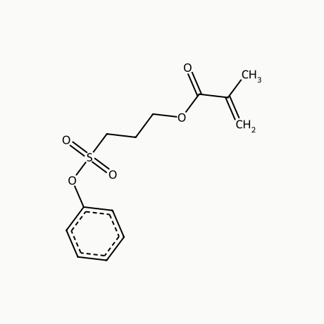 C=C(C)C(=O)OCCCS(=O)(=O)Oc1ccccc1